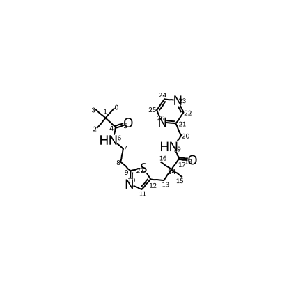 CC(C)(C)C(=O)NCCc1ncc(CC(C)(C)C(=O)NCc2cnccn2)s1